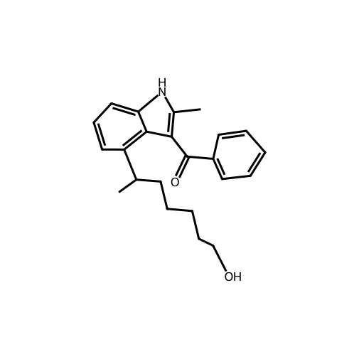 Cc1[nH]c2cccc(C(C)CCCCCO)c2c1C(=O)c1ccccc1